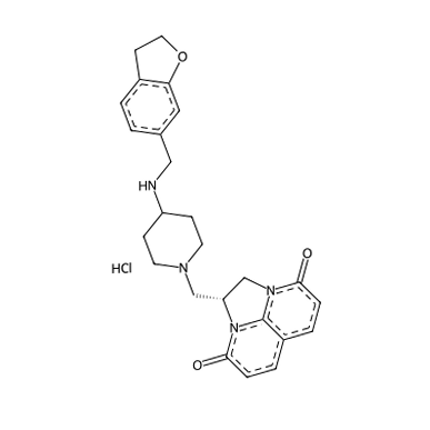 Cl.O=c1ccc2ccc(=O)n3c2n1C[C@H]3CN1CCC(NCc2ccc3c(c2)OCC3)CC1